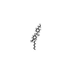 CCCCCCC[C@]1(C#N)CC[C@H](OC(=O)[C@H]2CC[C@H](CCC)CC2)CC1